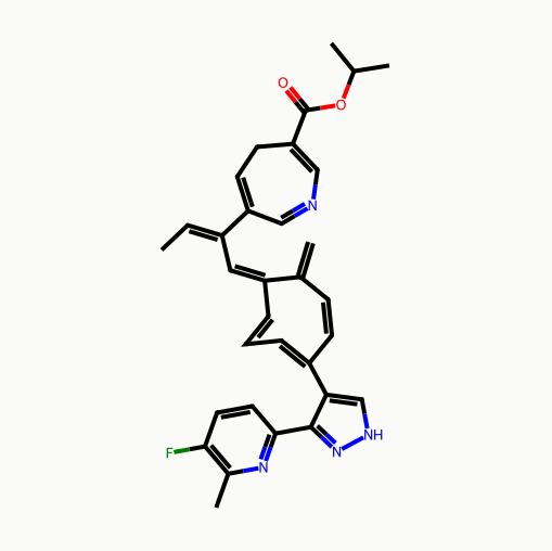 C=C1\C=C/C(c2c[nH]nc2-c2ccc(F)c(C)n2)=C/C=C/C1=C/C(=C\C)C1=CCC(C(=O)OC(C)C)=CN=C1